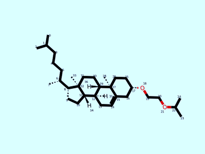 CC(C)CCC[C@@H](C)[C@H]1CC[C@H]2[C@@H]3CC=C4C[C@@H](OCCOC(C)C)CC[C@]4(C)[C@H]3CC[C@]12C